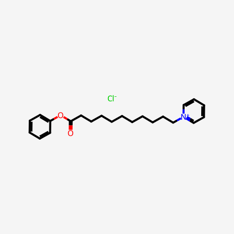 O=C(CCCCCCCCCC[n+]1ccccc1)Oc1ccccc1.[Cl-]